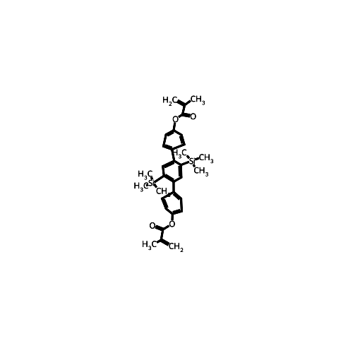 C=C(C)C(=O)Oc1ccc(-c2cc([Si](C)(C)C)c(-c3ccc(OC(=O)C(=C)C)cc3)cc2[Si](C)(C)C)cc1